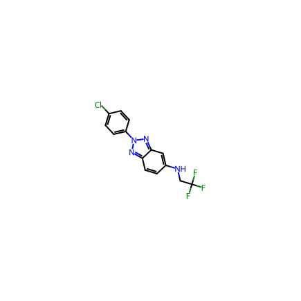 FC(F)(F)CNc1ccc2nn(-c3ccc(Cl)cc3)nc2c1